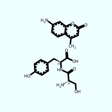 Cc1cc(=O)oc2cc(N)ccc12.N[C@@H](CO)C(=O)N[C@@H](Cc1ccc(O)cc1)C(=O)O